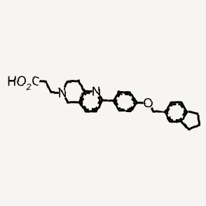 O=C(O)CCN1CCc2nc(-c3ccc(OCc4ccc5c(c4)CCC5)cc3)ccc2C1